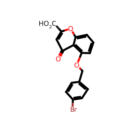 O=C(O)c1cc(=O)c2c(OCc3ccc(Br)cc3)cccc2o1